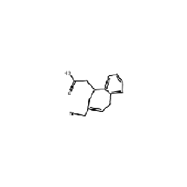 O=C(O)CC1CC(CBr)=CCc2ccccc21